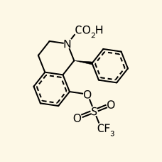 O=C(O)N1CCc2cccc(OS(=O)(=O)C(F)(F)F)c2[C@@H]1c1ccccc1